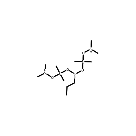 CCC[SiH](O[Si](C)(C)O[SiH](C)C)O[Si](C)(C)O[SiH](C)C